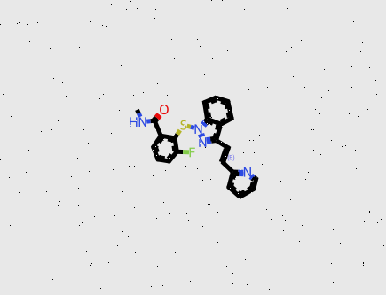 CNC(=O)c1cccc(F)c1Sn1nc(/C=C/c2ccccn2)c2ccccc21